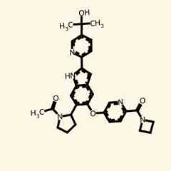 CC(=O)N1CCCC1c1cc2[nH]c(-c3ccc(C(C)(C)O)cn3)cc2cc1Oc1ccc(C(=O)N2CCC2)nc1